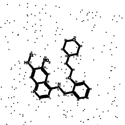 CCNc1cc2ncnc(NCc3ccccc3OCCN3CCOCC3)c2cc1[N+](=O)[O-]